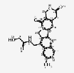 Cc1cc2c(CNC(=O)CO)c3c(nc2cn1)-c1cc2c(c(=O)n1C3)COC(=O)C2